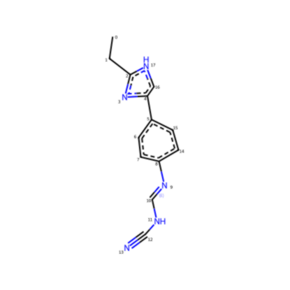 CCc1nc(-c2ccc(/N=C/NC#N)cc2)c[nH]1